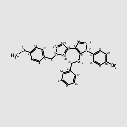 COc1ccc(Cn2nnc(-c3cnn(-c4ccc(Br)cc4)c3SCc3ccccc3)n2)cc1